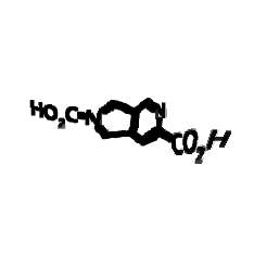 O=C(O)c1cc2c(cn1)CN(C(=O)O)C2